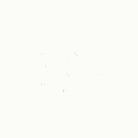 CC(C)(C)/C1=N/CCC/C=C\N1C(C)(C)C